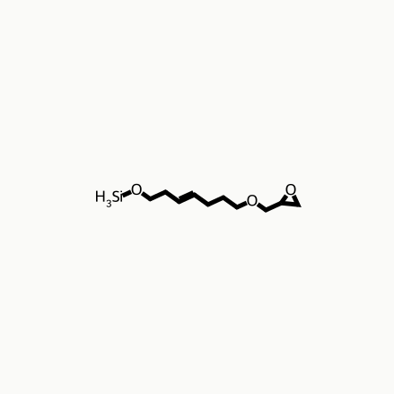 [SiH3]OCCC=CCCCOCC1CO1